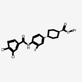 CC(C)OC(=O)[C@H]1CC[C@H](c2ccc(NC(=O)c3ccc(Cl)c(Cl)c3)c(F)c2)CC1